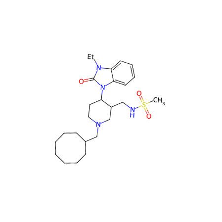 CCn1c(=O)n(C2CCN(CC3CCCCCCC3)CC2CNS(C)(=O)=O)c2ccccc21